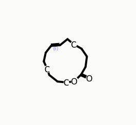 O=C1CCCCC/C=C/CCCCCCO1